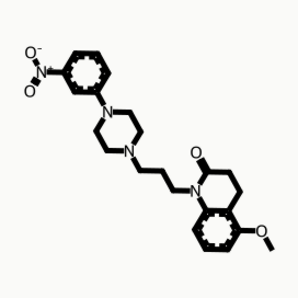 COc1cccc2c1CCC(=O)N2CCCN1CCN(c2cccc([N+](=O)[O-])c2)CC1